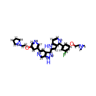 CN(C)CCOc1cc(F)cc(-c2nccc3[nH]c(-c4n[nH]c5cnc(-c6cncc(OCCN7CCCC7)c6)cc45)cc23)c1